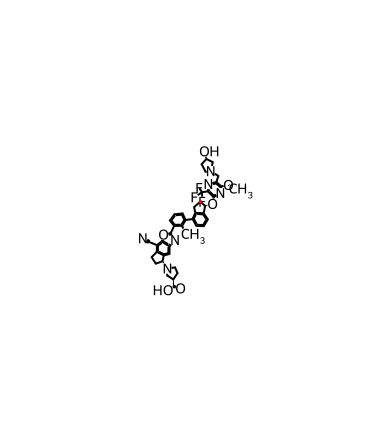 COc1nc(O[C@H]2CCc3c(-c4cccc(-c5nc6cc7c(c(C#N)c6o5)CC[C@H]7N5CC[C@@H](C(=O)O)C5)c4C)cccc32)c(C(F)(F)F)nc1CN1CC[C@@H](O)C1